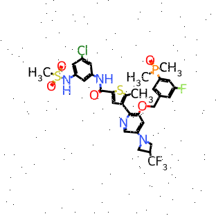 Cc1sc(C(=O)Nc2cc(Cl)cc(NS(C)(=O)=O)c2)cc1-c1ncc(N2CC(C(F)(F)F)C2)cc1OCc1cc(F)cc(P(C)(C)=O)c1